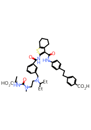 CCC(CC)N(CCN(C)C(=O)N[C@@H](C)C(=O)O)Cc1cccc(C(=O)Nc2sc3c(c2C(=O)Nc2ccc(CCc4ccc(C(=O)O)cc4)cc2)CCCC3)c1